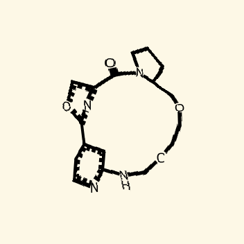 O=C1c2coc(n2)-c2ccnc(c2)NCCCCOCC2CCCN12